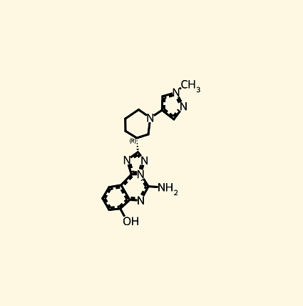 Cn1cc(N2CCC[C@@H](c3nc4c5cccc(O)c5nc(N)n4n3)C2)cn1